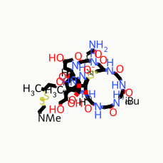 CC[C@H](C)[C@@H]1NC(=O)CNC(=O)[C@@H]2Cc3c([nH]c4cc(OCCC(C)SSCCNC)ccc34)[S@+]([O-])CC(NC(=O)CNC1=O)C(=O)N[C@@H](CC(N)=O)C(=O)N1C[C@H](O)C[C@H]1C(=O)N[C@@H]([C@@H](C)[C@@H](O)CO)C(=O)N2